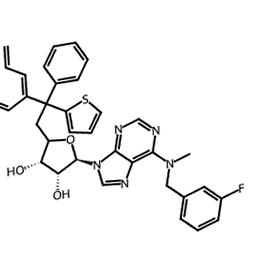 C=C/C=C(\C=C)C(CC1O[C@@H](n2cnc3c(N(C)Cc4cccc(F)c4)ncnc32)[C@H](O)[C@@H]1O)(c1ccccc1)c1cccs1